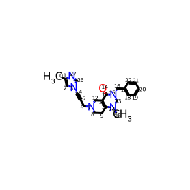 Cc1cn(C#CCN2CCC3=C(C2)C(=O)N(Cc2ccccc2)CN3C)cn1